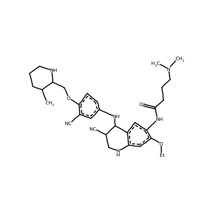 CCOc1cc2c(cc1NC(=O)CCCN(C)C)C(Nc1ccc(OCC3NCCCC3C)c(C#N)c1)C(C#N)CN2